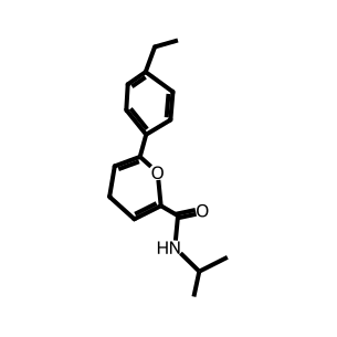 CCc1ccc(C2=CCC=C(C(=O)NC(C)C)O2)cc1